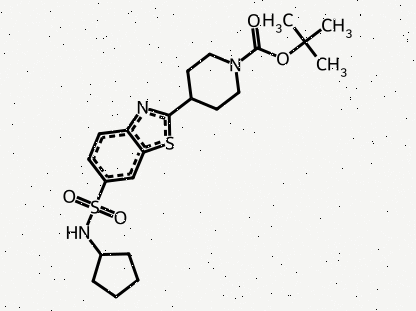 CC(C)(C)OC(=O)N1CCC(c2nc3ccc(S(=O)(=O)NC4CCCC4)cc3s2)CC1